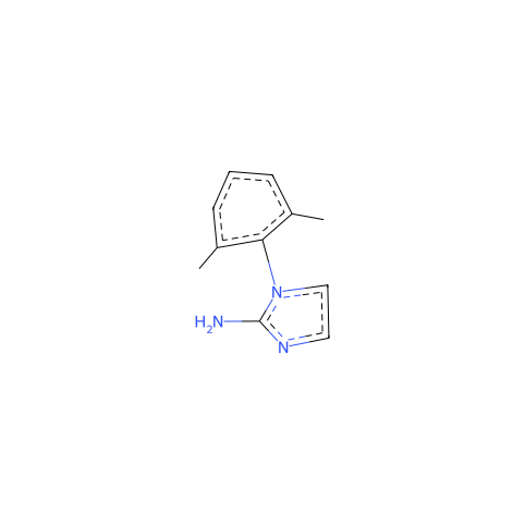 Cc1cccc(C)c1-n1ccnc1N